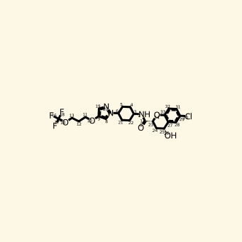 O=C(NC1CCC(n2cc(OCCCOC(F)(F)F)cn2)CC1)[C@H]1C[C@@H](O)c2cc(Cl)ccc2O1